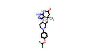 CC1CN(c2ccc(OC(F)F)cc2)CC[C@H]1c1n[nH]c2c1C(O)(C(F)(F)F)CC(=O)N2